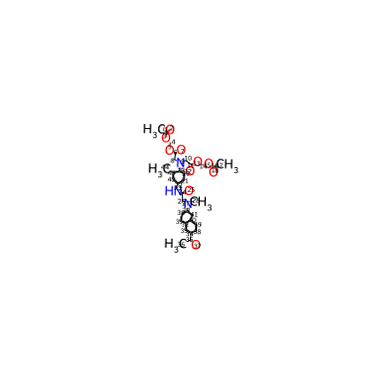 CC(=O)OCOC(=O)CN(CC(=O)OCOC(C)=O)c1ccc(NC(=O)CN(C)c2ccc3cc(C(C)=O)ccc3c2)cc1C